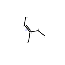 C[CH]/C(C)=C\C